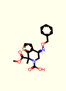 COC(=O)C1(C)c2sccc2/C(=N\OCc2ccccc2)CN1C(=O)O